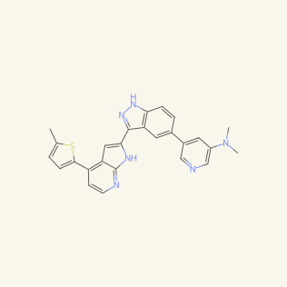 Cc1ccc(-c2ccnc3[nH]c(-c4n[nH]c5ccc(-c6cncc(N(C)C)c6)cc45)cc23)s1